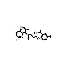 CC(N)c1cc(F)ccc1OCCCNc1c(F)cnc2ccc(Cl)nc12